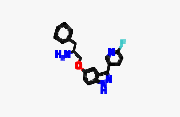 NC(COc1ccc2[nH]nc(-c3ccc(F)nc3)c2c1)Cc1ccccc1